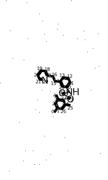 Cc1cc(C)c(S(=O)(=O)Nc2cccc(CCc3ccccn3)c2)c(C)c1